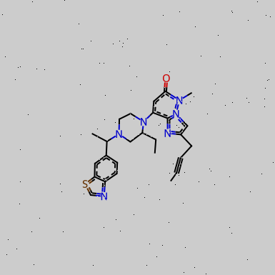 CC#CCc1cn2c(n1)c(N1CCN(C(C)c3ccc4ncsc4c3)CC1CC)cc(=O)n2C